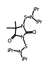 CC(C)N(SN1C(=O)N(SN(C(C)C)C(C)C)C(C)(C)C1=O)C(C)C